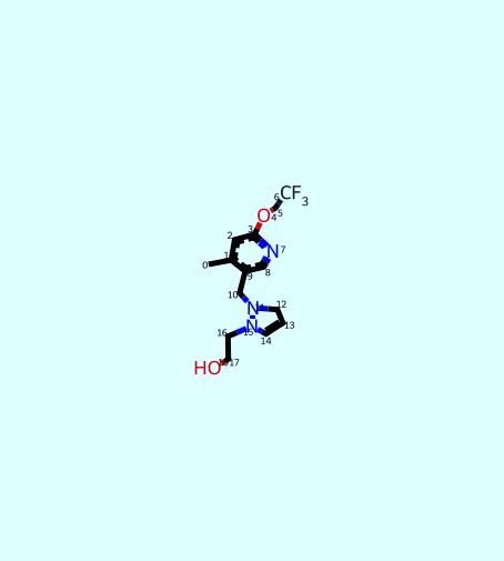 Cc1cc(OCC(F)(F)F)ncc1CN1CC=CN1CCO